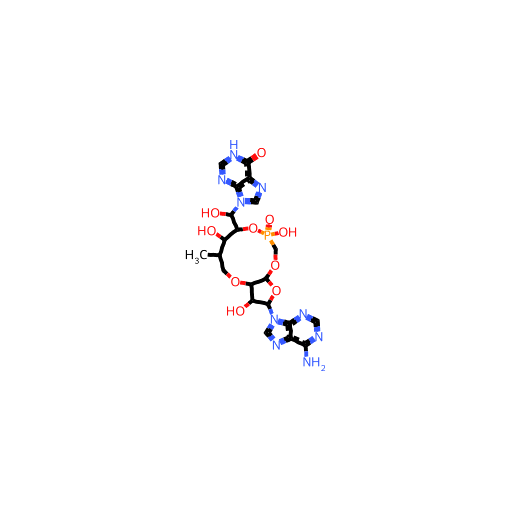 CC1COC2C(OCP(=O)(O)OC(C(O)n3cnc4c(=O)[nH]cnc43)C1O)OC(n1cnc3c(N)ncnc31)C2O